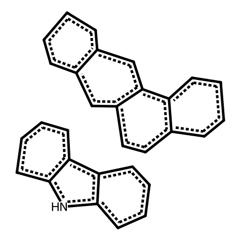 c1ccc2c(c1)[nH]c1ccccc12.c1ccc2cc3c(ccc4ccccc43)cc2c1